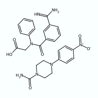 N=C(N)c1cccc(C(=O)N(CC(=O)O)c2ccccc2)c1.NC(=O)N1CCN(c2ccc([N+](=O)[O-])cc2)CC1